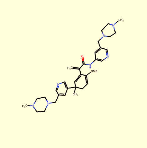 C=C(C(=O)Nc1cncc(CN2CCN(C)CC2)c1)C1=CC(C)(c2cncc(CN3CCN(C)CC3)c2)CC=C1NC